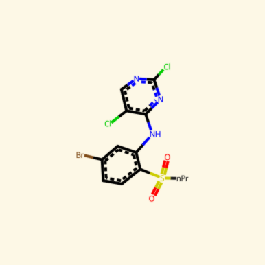 CCCS(=O)(=O)c1ccc(Br)cc1Nc1nc(Cl)ncc1Cl